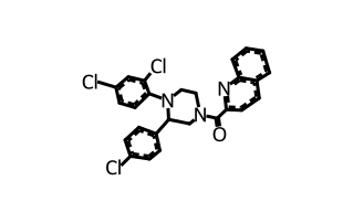 O=C(c1ccc2ccccc2n1)N1CCN(c2ccc(Cl)cc2Cl)C(c2ccc(Cl)cc2)C1